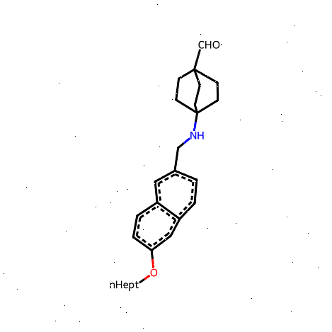 CCCCCCCOc1ccc2cc(CNC34CCC([C]=O)(CC3)CC4)ccc2c1